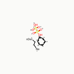 CCCCCCCCCCC[CH2][Na].O=S(=O)(O)S(=O)(=O)O.c1ccccc1